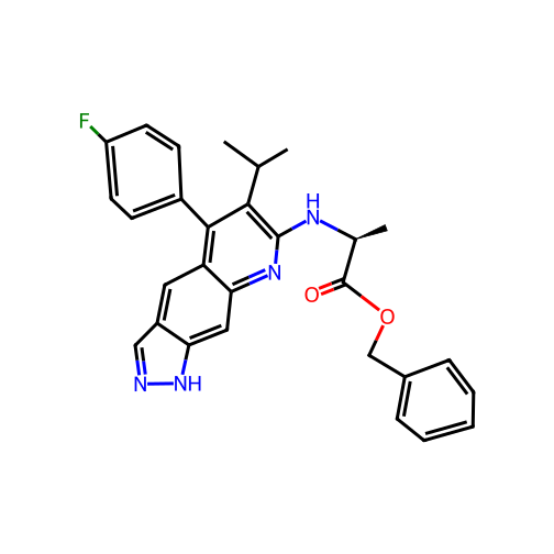 CC(C)c1c(N[C@@H](C)C(=O)OCc2ccccc2)nc2cc3[nH]ncc3cc2c1-c1ccc(F)cc1